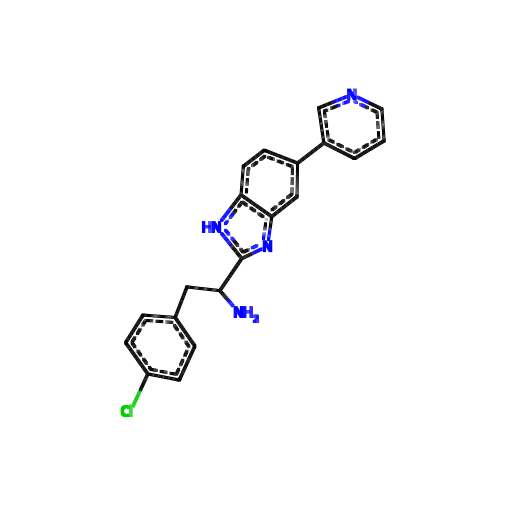 NC(Cc1ccc(Cl)cc1)c1nc2cc(-c3cccnc3)ccc2[nH]1